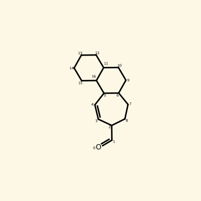 O=CC1C=CC2C(CC1)CCC1CCCCC12